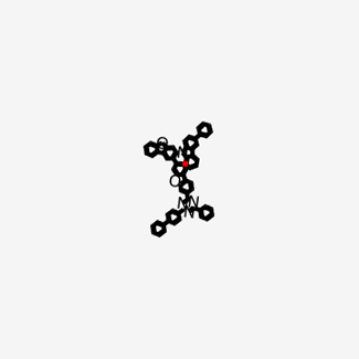 c1ccc(-c2ccc(-c3nc(-c4ccccc4)nc(-c4ccc5c(c4)oc4cc(-c6cc7c(cc6-n6c8ccccc8c8cc(-c9ccccc9)ccc86)oc6ccccc67)ccc45)n3)cc2)cc1